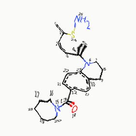 C=C(/C=C\C(=C)N1CCCc2cc(C(=O)N3CCCCC3)ccc21)SN